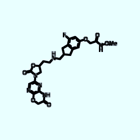 CONC(=O)COc1cc(F)c2c(c1)CC(CNCCC1CN(c3cnc4c(n3)NC(=O)CO4)C(=O)O1)C2